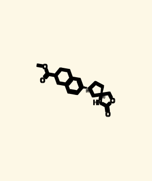 COC(=O)C1CCc2cc([C@@H]3CC[C@]4(COC(=O)N4)C3)ccc2C1